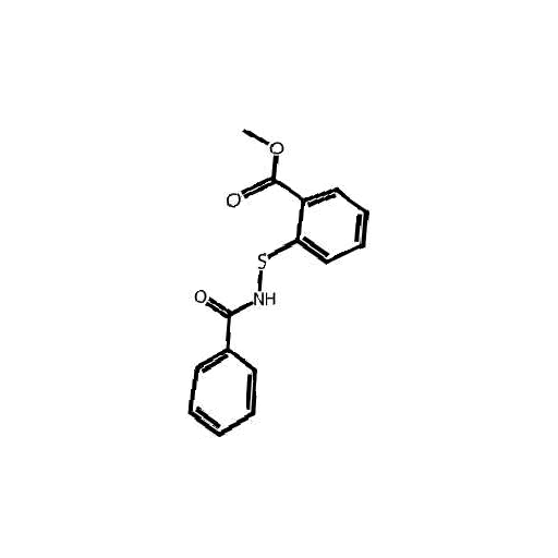 COC(=O)c1ccccc1SNC(=O)c1ccccc1